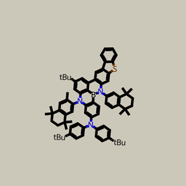 Cc1cc2c(cc1N1c3cc(N(c4ccc(C(C)(C)C)cc4)c4ccc(C(C)(C)C)cc4)ccc3B3c4c(cc(C(C)(C)C)cc41)-c1cc4c(cc1N3c1ccc3c(c1)C(C)(C)CCC3(C)C)sc1ccccc14)C(C)(C)CCC2(C)C